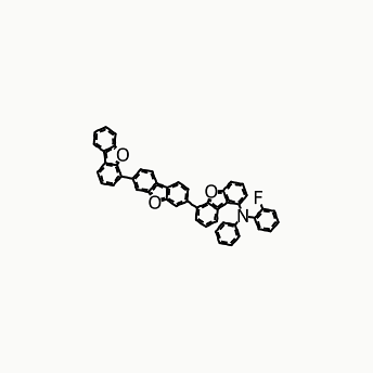 Fc1ccccc1N(c1ccccc1)c1cccc2oc3c(-c4ccc5c(c4)oc4cc(-c6cccc7c6oc6ccccc67)ccc45)cccc3c12